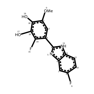 COc1cc(-c2nc3cc(F)ccc3[nH]2)c(F)c(O)c1O